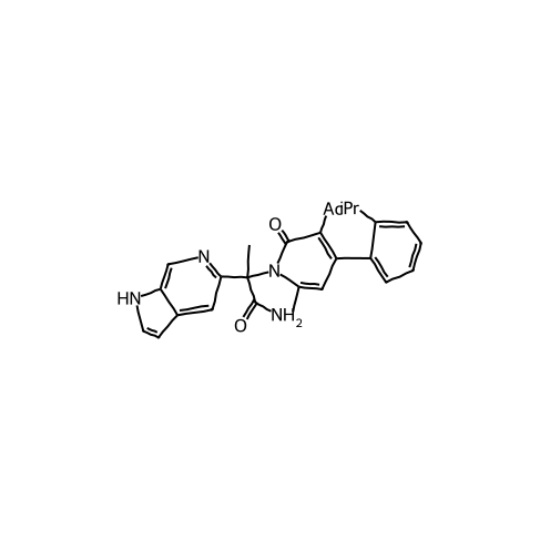 CC(=O)c1c(-c2ccccc2C(C)C)cc(C)n(C(C)(C(N)=O)c2cc3cc[nH]c3cn2)c1=O